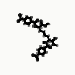 COC(=O)[C@H](CC=CC[C@H](NC(=O)c1ccc([N+](=O)[O-])cc1)C(=O)OC)NC(=O)c1ccc([N+](=O)[O-])cc1